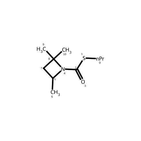 CCCSC(=O)N1C(C)CC1(C)C